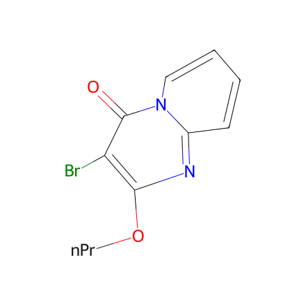 CCCOc1nc2ccccn2c(=O)c1Br